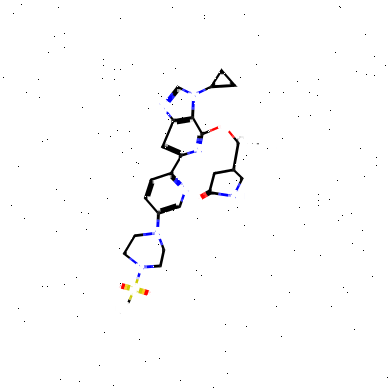 C[C@@H](Oc1nc(-c2ccc(N3CCN(S(C)(=O)=O)CC3)cn2)cc2ncn(C3CC3)c12)C1CNC(=O)C1